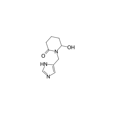 O=C1CCCC(O)N1Cc1cnc[nH]1